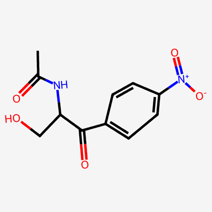 CC(=O)NC(CO)C(=O)c1ccc([N+](=O)[O-])cc1